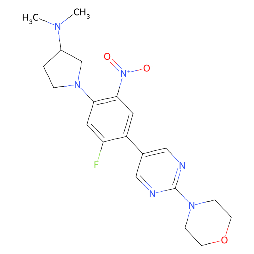 CN(C)C1CCN(c2cc(F)c(-c3cnc(N4CCOCC4)nc3)cc2[N+](=O)[O-])C1